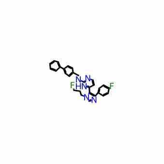 FCCCn1cnc(-c2ccc(F)cc2)c1-c1ccnc(NCc2ccc(-c3ccccc3)cc2)n1